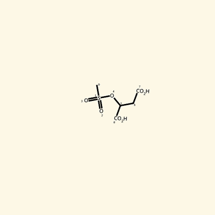 CS(=O)(=O)OC(CC(=O)O)C(=O)O